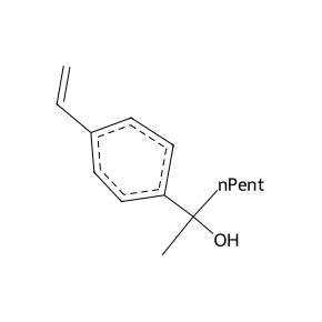 C=Cc1ccc(C(C)(O)CCCCC)cc1